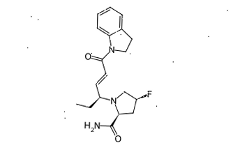 CC[C@@H](/C=C/C(=O)N1CCc2ccccc21)N1C[C@@H](F)C[C@H]1C(N)=O